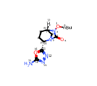 CCCCON1C(=O)N2C[C@@H]1CC[C@H]2c1nnc(N)o1